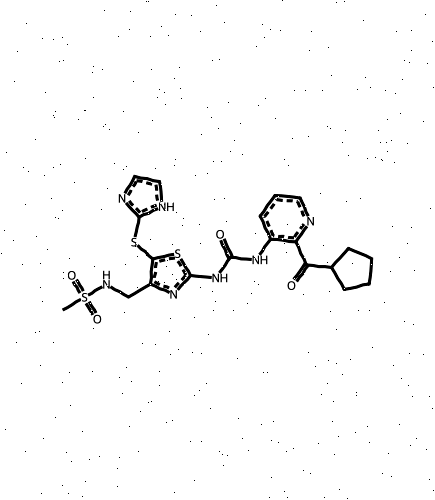 CS(=O)(=O)NCc1nc(NC(=O)Nc2cccnc2C(=O)C2CCCC2)sc1Sc1ncc[nH]1